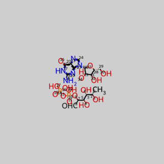 C[C@H](O)[C@@H](O)[C@@H](O)[C@@H](C=O)OP(=O)(O)OP(=O)(O)O.Nc1nc2c(ncn2[C@@H]2O[C@H](CO)[C@@H](O)[C@H]2O)c(=O)[nH]1